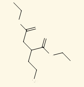 CCOC(=O)CC(CCN)C(=O)OCC